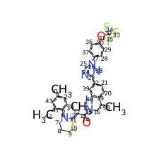 Cc1cc(C)c(N2CCCS/C2=C\C(=O)NCC(C)c2ccc(-c3ncn(-c4ccc(OC(F)(F)F)cc4)n3)cc2)c(C)c1